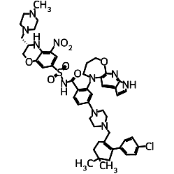 CN1CCN(C[C@H]2COc3cc(S(=O)(=O)NC(=O)c4ccc(N5CCN(CC6=C(c7ccc(Cl)cc7)CC(C)(C)CC6)CC5)cc4N4CCCOc5nc6[nH]ccc6cc54)cc([N+](=O)[O-])c3N2)CC1